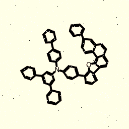 c1ccc(-c2ccc(N(c3ccc(-c4cccc5c4oc4c5ccc5ccc6cc(-c7ccccc7)ccc6c54)cc3)c3cc(-c4ccccc4)cc(-c4ccccc4)c3)cc2)cc1